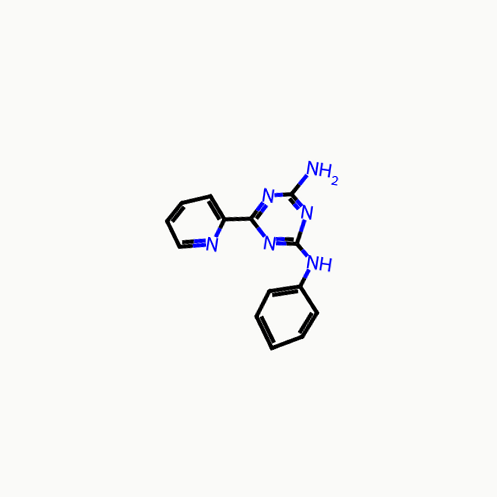 Nc1nc(Nc2ccccc2)nc(-c2ccccn2)n1